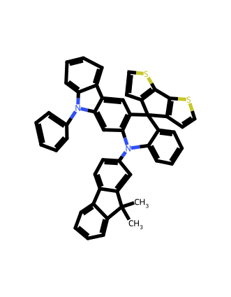 CC1(C)c2ccccc2-c2ccc(N3c4ccccc4C4(c5cc6c7ccccc7n(-c7ccccc7)c6cc53)c3ccsc3-c3sccc34)cc21